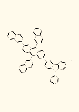 N#Cc1ccc2c(c1)c1cc(-c3ccc4c(-c5ccc6ccccc6c5)c5cc(-c6ccc7ccccc7c6)ccc5c(-c5ccc6ccccc6c5)c4c3)ccc1n2-c1ccccc1